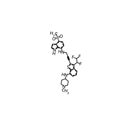 CN1CCC(Nc2cccc3c(C(F)C(F)F)c(C#CCNc4ccc(S(C)(=O)=O)c5cc[nH]c45)sc23)CC1